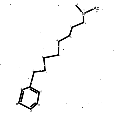 CC(=O)N(C)CCCCCCCCc1ccccc1